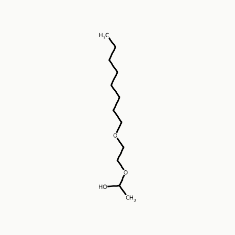 CCCCCCCCOCCOC(C)O